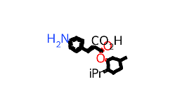 CC1CCC(C(C)C)C(OC(=O)C(=Cc2ccc(N)cc2)C(=O)O)C1